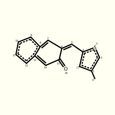 Cc1csc(/C=C2/C=c3ccccc3=CC2=O)c1